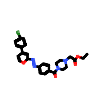 CCOC(=O)CN1CCN(C(=O)c2ccc(N=NC3C=C(c4ccc(Cl)cc4)C=CO3)cc2)CC1